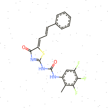 Cc1c(NC(=O)NC2=NC(=O)C(=CC=Cc3ccccc3)S2)cc(F)c(F)c1F